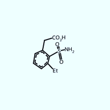 CCc1cccc(CC(=O)O)c1S(N)(=O)=O